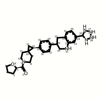 O=C([C@H]1CCCO1)N1CCC2(CC1)C[C@H]2c1ccc(C2CNc3cc(C4NNNN4)ccc3C2)cc1